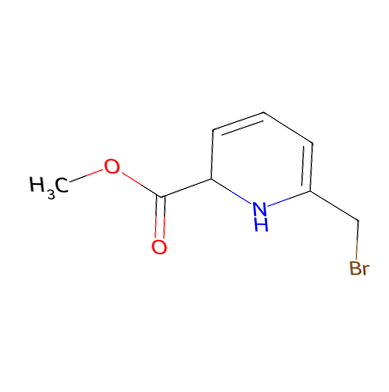 COC(=O)C1C=CC=C(CBr)N1